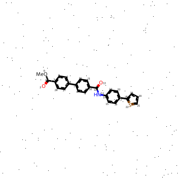 COC(=O)c1ccc(-c2ccc(C(=O)Nc3ccc(-c4cccs4)cc3)cc2)cc1